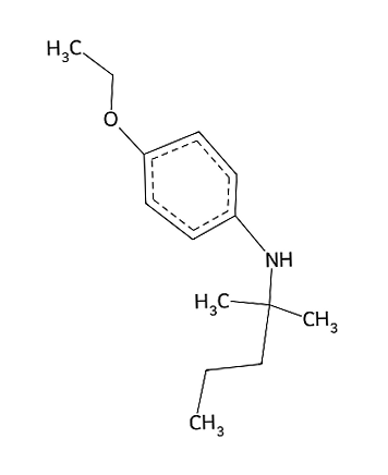 CCCC(C)(C)Nc1ccc(OCC)cc1